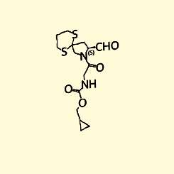 O=C[C@@H]1CC2(CN1C(=O)CNC(=O)OCC1CC1)SCCCS2